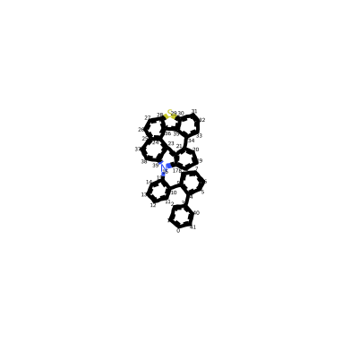 c1ccc(-c2ccccc2-c2ccccc2-n2c3cccc4c3c3c5c(ccc6sc7cccc-4c7c65)ccc32)cc1